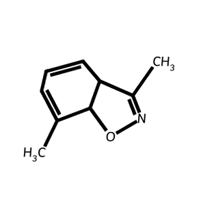 CC1=CC=CC2C(C)=NOC12